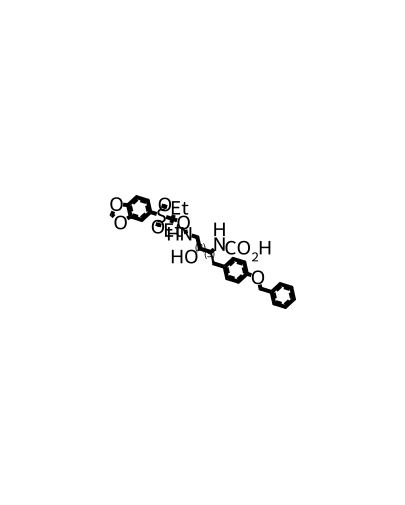 CCC(CC)(ONC[C@@H](O)[C@H](Cc1ccc(OCc2ccccc2)cc1)NC(=O)O)S(=O)(=O)c1ccc2c(c1)OCO2